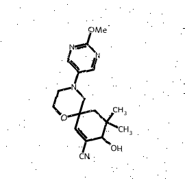 COc1ncc(N2CCOC3(C=C(C#N)C(O)C(C)(C)C3)C2)cn1